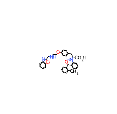 Cc1ccccc1C(=O)c1ccccc1NC(Cc1ccc(OCCNCc2nc3ccccc3o2)cc1)C(=O)O